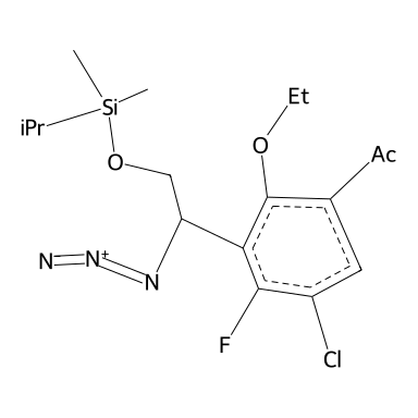 CCOc1c(C(C)=O)cc(Cl)c(F)c1C(CO[Si](C)(C)C(C)C)N=[N+]=[N-]